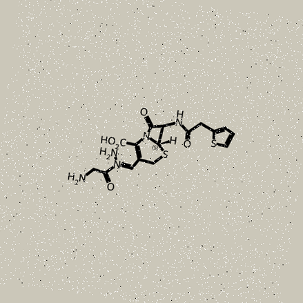 NCC(=O)[N+](N)=CC1=C(C(=O)O)N2C(=O)C(NC(=O)Cc3cccs3)[C@@H]2SC1